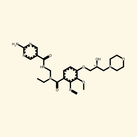 C=Nc1c(C(=O)N(CC)CNC(=O)c2cnc(N)nc2)ccc(OC[C@@H](O)CN2CCOCC2)c1OC